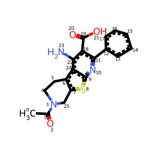 CC(=O)N1CCc2c(sc3nc(-c4ccccc4)c(C(=O)O)c(N)c23)C1